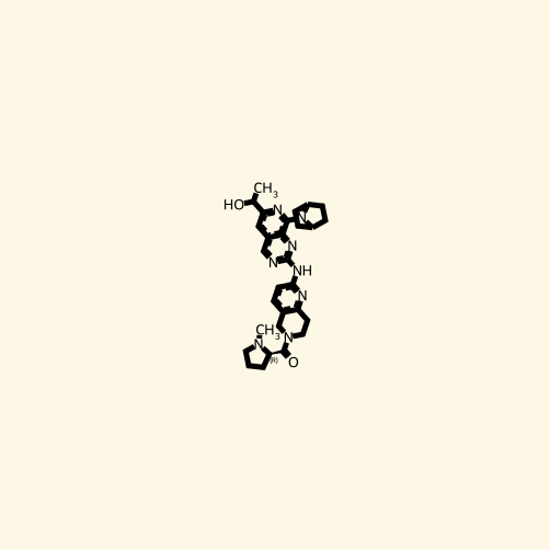 CC(O)c1cc2cnc(Nc3ccc4c(n3)CCN(C(=O)[C@H]3CCCN3C)C4)nc2c(N2C3CCC2CC3)n1